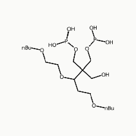 CCCCOCCOC(CCOCCCC)C(CO)(COP(O)O)COP(O)O